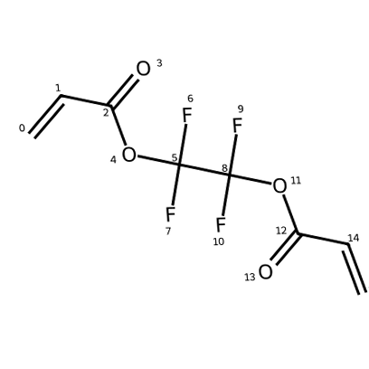 C=CC(=O)OC(F)(F)C(F)(F)OC(=O)C=C